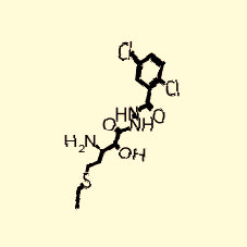 CCSCC[C@@H](N)C(O)C(=O)NNC(=O)c1cc(Cl)ccc1Cl